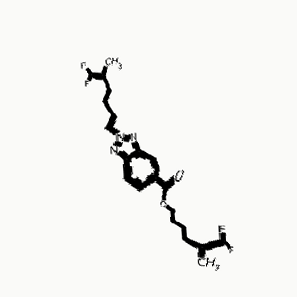 CC(CCCCOC(=O)c1ccc2nn(CCCCC(C)=C(F)F)nc2c1)=C(F)F